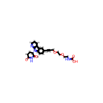 O=C(O)NCCOCCOCC#Cc1ccc2c(c1)c1cccnc1n2[C@H]1CCC(=O)NC1=O